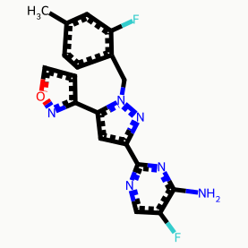 Cc1ccc(Cn2nc(-c3ncc(F)c(N)n3)cc2-c2ccon2)c(F)c1